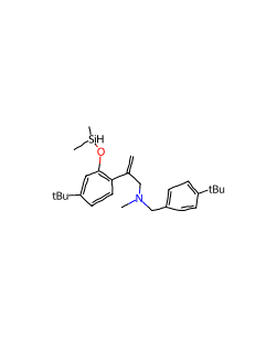 C=C(CN(C)Cc1ccc(C(C)(C)C)cc1)c1ccc(C(C)(C)C)cc1O[SiH](C)C